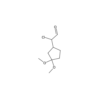 COC1(OC)CCC(C(Cl)C=O)C1